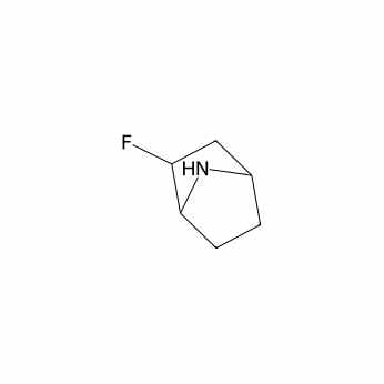 FC1CC2CCC1N2